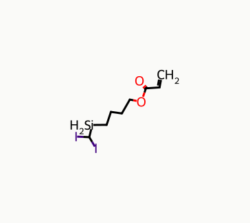 C=CC(=O)OCCCC[SiH2]C(I)I